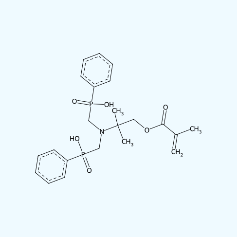 C=C(C)C(=O)OCC(C)(C)N(CP(=O)(O)c1ccccc1)CP(=O)(O)c1ccccc1